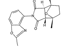 Cc1nc2c(N3C(=O)[C@@H]4[C@@H](C3=O)[C@]3(C)CC[C@@]4(C)O3)cccc2o1